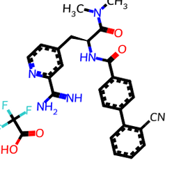 CN(C)C(=O)[C@H](Cc1ccnc(C(=N)N)c1)NC(=O)c1ccc(-c2ccccc2C#N)cc1.O=C(O)C(F)(F)F